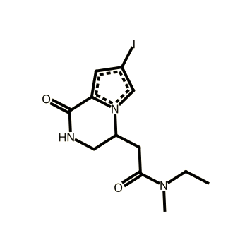 CCN(C)C(=O)CC1CNC(=O)c2cc(I)cn21